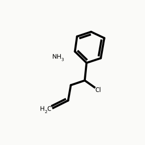 C=CCC(Cl)c1ccccc1.N